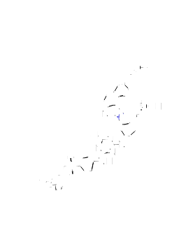 Nc1ccc2cc(SOOO)cc(O)c2c1/N=N/c1cc(Nc2nc(Cl)nc(Nc3ccc(S(=O)(=O)CCOS(=O)(=O)O)cc3)n2)ccc1SOOO